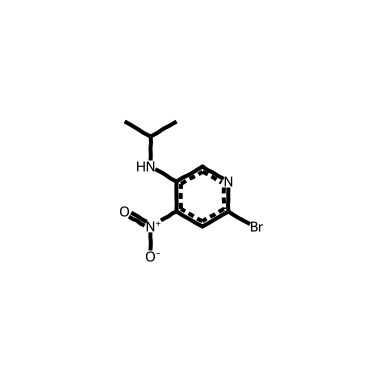 CC(C)Nc1cnc(Br)cc1[N+](=O)[O-]